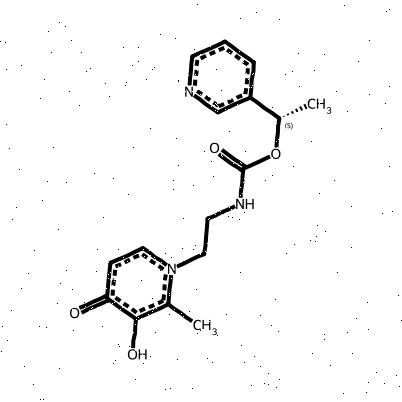 Cc1c(O)c(=O)ccn1CCNC(=O)O[C@@H](C)c1cccnc1